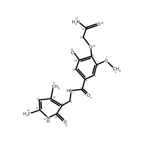 COc1cc(C(=O)NCc2c(C)cc(C)[nH]c2=O)cc(Cl)c1OCC(N)=O